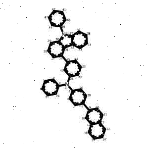 c1ccc(N(c2ccc(-c3ccc4ccccc4c3)cc2)c2cccc(-c3cccc4c3c3ccccc3n4-c3ccccc3)c2)cc1